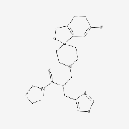 O=C(C(Cc1cscn1)CN1CCC2(CC1)OCc1ccc(F)cc12)N1CCCC1